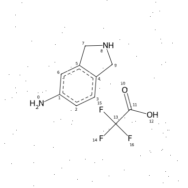 Nc1ccc2c(c1)CNC2.O=C(O)C(F)(F)F